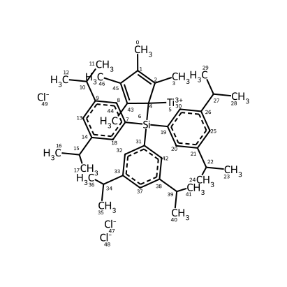 CC1=C(C)[C]([Ti+3])([Si](c2cc(C(C)C)cc(C(C)C)c2)(c2cc(C(C)C)cc(C(C)C)c2)c2cc(C(C)C)cc(C(C)C)c2)C(C)=C1C.[Cl-].[Cl-].[Cl-]